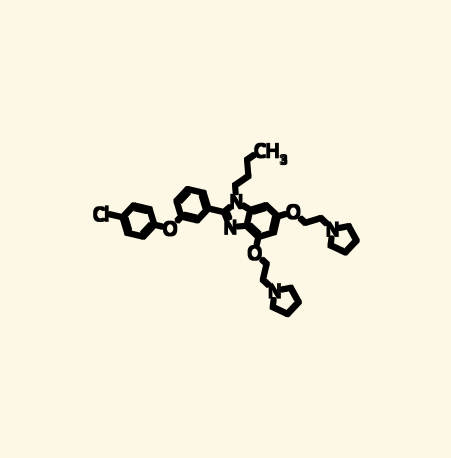 CCCCn1c(-c2cccc(Oc3ccc(Cl)cc3)c2)nc2c(OCCN3CCCC3)cc(OCCN3CCCC3)cc21